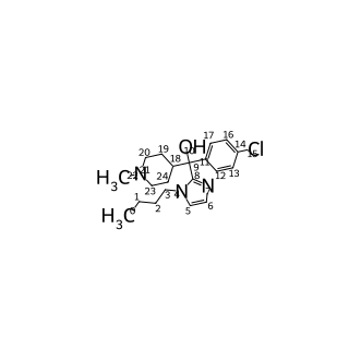 CCCCn1ccnc1C(O)(c1ccc(Cl)cc1)C1CCN(C)CC1